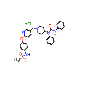 CS(=O)(=O)Nc1ccc(Oc2ccc(CN3CCC(N(C(=O)Nc4ccccc4)c4ccccc4)CC3)cn2)cc1.Cl